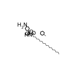 CCCCCCCCCCCCCCCCCC(=O)NS(=O)(=O)c1ccc(N)cc1.Cc1ccccc1